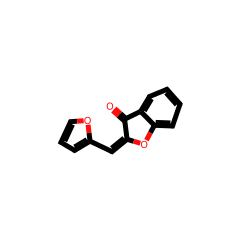 O=C1C(=Cc2ccco2)Oc2ccccc21